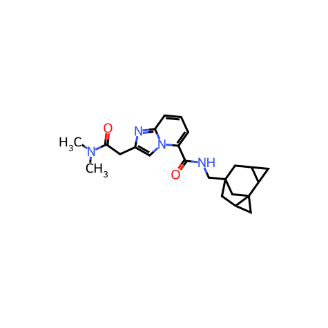 CN(C)C(=O)Cc1cn2c(C(=O)NCC34CC5CC5C5(CC5C3)C4)cccc2n1